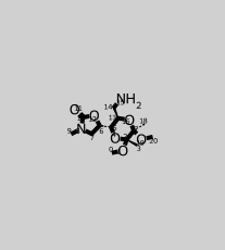 CO[C@]1(C)O[C@H](C2CN(C)C(=O)O2)[C@@H](CN)O[C@@]1(C)OC